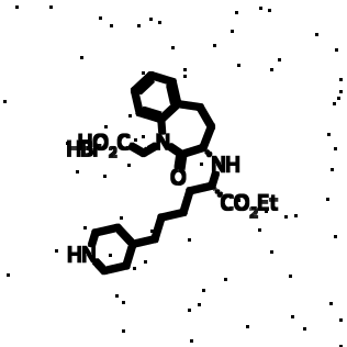 Br.CCOC(=O)[C@H](CCCCC1CCNCC1)N[C@H]1CCc2ccccc2N(CC(=O)O)C1=O